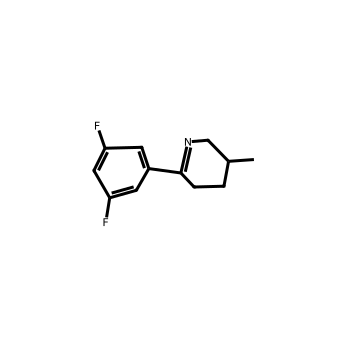 CC1CCC(c2cc(F)cc(F)c2)=NC1